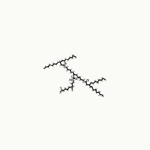 CCCCCCCCC(CCCCCCCC)CC(=O)OCCCCCC(CCCCCOC(=O)CC(CCCCCCCC)CCCCCCCC)OC(=O)NCCCN(C)CCCCN(C)C